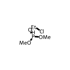 CCCl.CO[PH](=O)OC